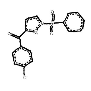 O=C(c1ccc(Cl)cc1)c1ccn(S(=O)(=O)c2ccccc2)n1